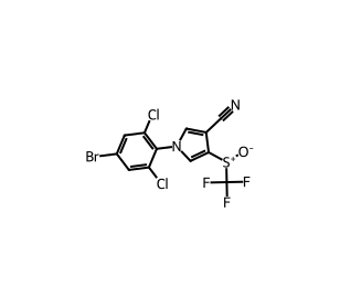 N#Cc1cn(-c2c(Cl)cc(Br)cc2Cl)cc1[S+]([O-])C(F)(F)F